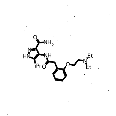 CCN(CC)CCOc1ccccc1CC(=O)Nc1c(C(N)=O)n[nH]c1C(C)C